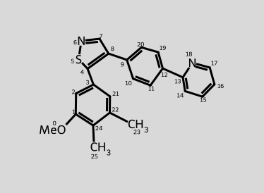 COc1cc(-c2sncc2-c2ccc(-c3ccccn3)cc2)cc(C)c1C